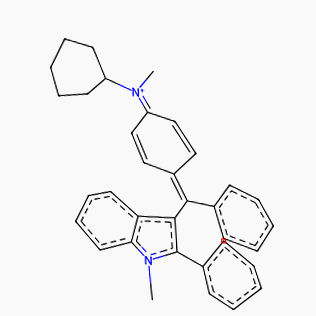 Cn1c(-c2ccccc2)c(C(=C2C=CC(=[N+](C)C3CCCCC3)C=C2)c2ccccc2)c2ccccc21